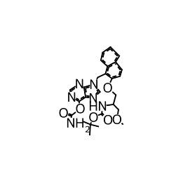 COCC(COc1ccc2ccccc2c1Cn1cnc2c(OC(N)=O)ncnc21)NC(=O)OC(C)(C)C